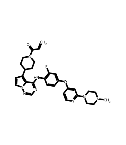 C=CC(=O)N1CCC(c2ccn3ncnc(Nc4ccc(Oc5ccnc(N6CCN(C)CC6)c5)cc4F)c23)CC1